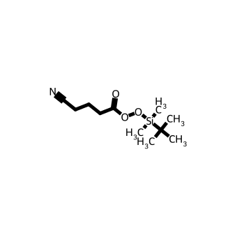 CC(C)(C)[Si](C)(C)OOC(=O)CCCC#N